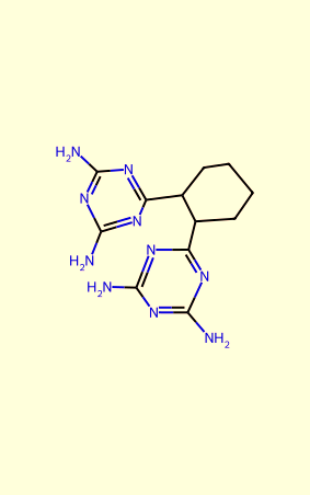 Nc1nc(N)nc(C2CCCCC2c2nc(N)nc(N)n2)n1